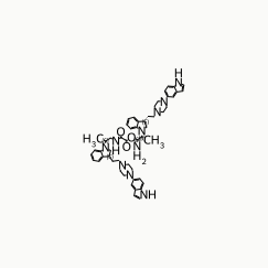 C[C@@H](CNC(=O)C(=O)O[C@H](N)[C@H](C)N1C[C@@H](CCN2CCN(c3ccc4[nH]ccc4c3)CC2)c2ccccc21)N1C[C@@H](CCN2CCN(c3ccc4[nH]ccc4c3)CC2)c2ccccc21